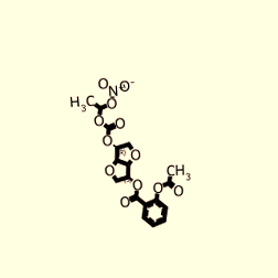 CC(=O)Oc1ccccc1C(=O)O[C@H]1COC2C1OC[C@H]2OC(=O)OC(C)O[N+](=O)[O-]